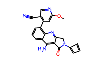 COc1cc(-c2cccc3c(N)c4c(nc23)CN(C2=CC=C2)C4=O)c(C#N)cn1